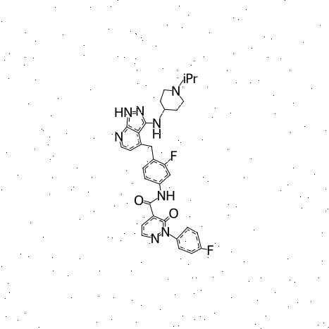 CC(C)N1CCC(Nc2n[nH]c3nccc(Cc4ccc(NC(=O)c5ccnn(-c6ccc(F)cc6)c5=O)cc4F)c23)CC1